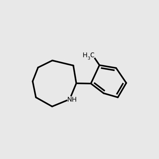 Cc1ccccc1C1CCCCCCN1